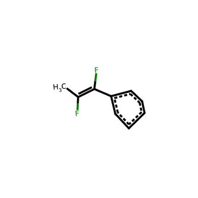 C/C(F)=C(\F)c1ccccc1